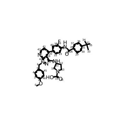 COc1ccc(Cn2nc(N[C@@H]3CCN(C(=O)O)C3)c3c(-c4ccc(NC(=O)c5ccc(C(C)(C)C)cc5)c(F)c4)ccnc32)cc1